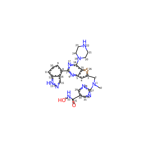 CN(Cc1cc2nc(-c3cccc4[nH]ncc34)nc(N3CCNCC3)c2s1)c1ncc(C(=O)NO)cn1